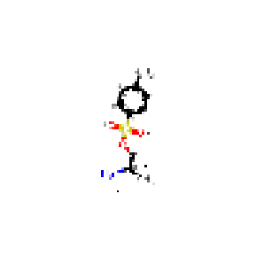 Cc1ccc(S(=O)(=O)OCC(C)N)cc1